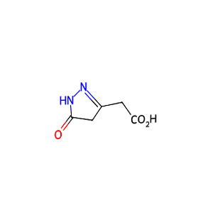 O=C(O)CC1=NNC(=O)C1